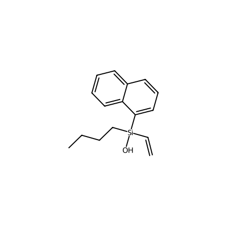 C=C[Si](O)(CCCC)c1cccc2ccccc12